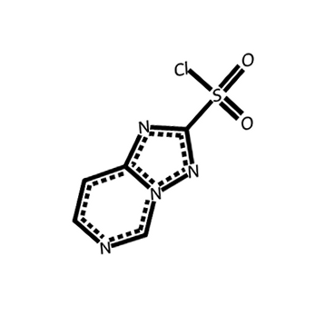 O=S(=O)(Cl)c1nc2ccncn2n1